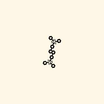 C1=CCC(c2nc(-c3ccccc3)nc(-c3ccc(-c4cccc5c(-c6ccc(-c7nc(-c8ccccc8)nc(-c8ccccc8)n7)cc6)cccc45)cc3)n2)C=C1